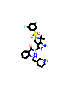 CC1(C)c2[nH]nc(NC(=O)c3ccccc3NCC3CCCNC3)c2CN1S(=O)(=O)c1cc(F)cc(F)c1